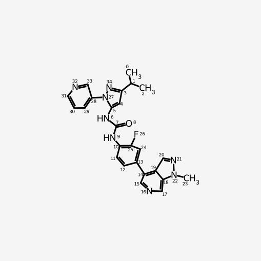 CC(C)c1cc(NC(=O)Nc2ccc(-c3cncc4c3cnn4C)cc2F)n(-c2cccnc2)n1